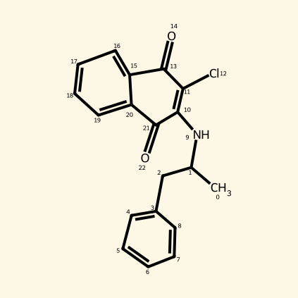 CC(Cc1ccccc1)NC1=C(Cl)C(=O)c2ccccc2C1=O